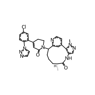 C[C@@H]1CCCC(N2CCC(c3cc(Cl)ccc3-n3ccnn3)=CC2=O)c2cc(ccn2)-c2c(cnn2C)NC1=O